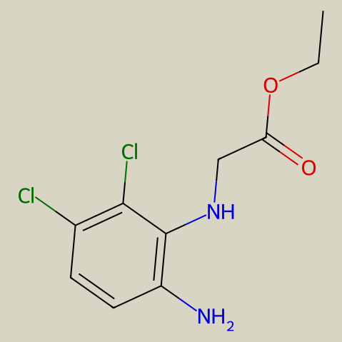 CCOC(=O)CNc1c(N)ccc(Cl)c1Cl